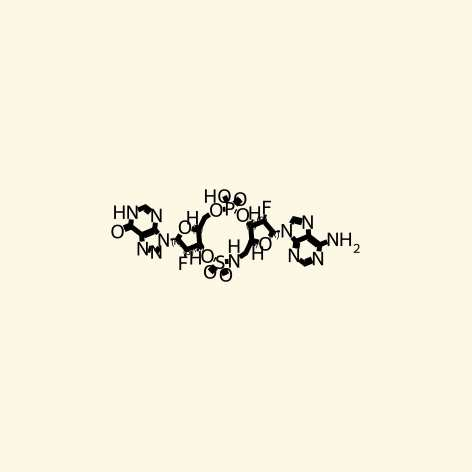 Nc1ncnc2c1ncn2[C@@H]1O[C@@H]2CNS(=O)(=O)O[C@H]3[C@H](F)[C@H](n4nnc5c(=O)[nH]cnc54)O[C@@H]3COP(=O)(O)O[C@H]2[C@H]1F